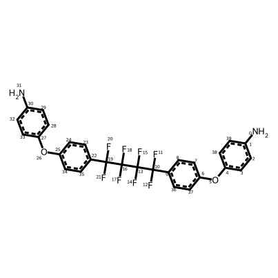 Nc1ccc(Oc2ccc(C(F)(F)C(F)(F)C(F)(F)C(F)(F)c3ccc(Oc4ccc(N)cc4)cc3)cc2)cc1